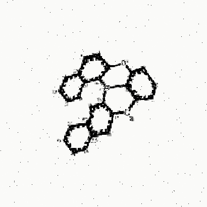 c1cc2c3c(c1)Oc1ccc4ccccc4c1B3c1cc3ccccc3cc1O2